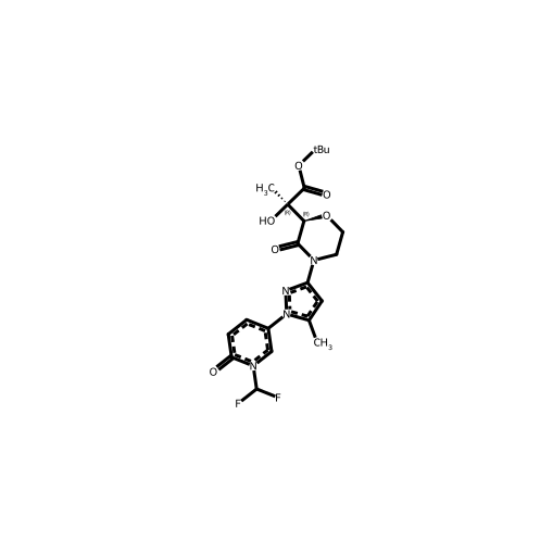 Cc1cc(N2CCO[C@H]([C@@](C)(O)C(=O)OC(C)(C)C)C2=O)nn1-c1ccc(=O)n(C(F)F)c1